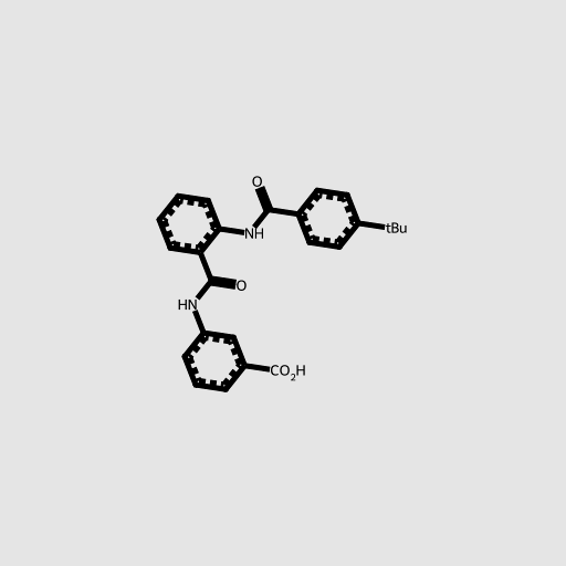 CC(C)(C)c1ccc(C(=O)Nc2ccccc2C(=O)Nc2cccc(C(=O)O)c2)cc1